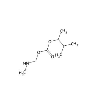 CNCOC(=O)OC(C)C(C)C